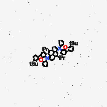 CC(C)c1cc2c(N(c3ccccc3)c3cccc4c3oc3c(C(C)(C)C)cccc34)ccc3c(C(C)C)cc4c(N(c5ccccc5)c5cccc6c5oc5c(C(C)(C)C)cccc56)ccc1c4c32